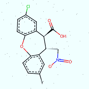 O=C(O)[C@@H]1c2cc(Cl)ccc2Oc2cc[c]([Y])cc2[C@H]1C[N+](=O)[O-]